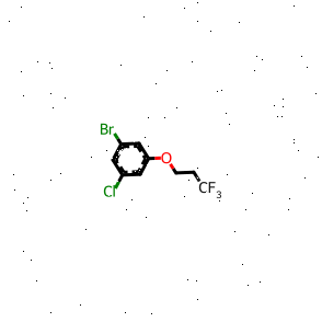 FC(F)(F)CCOc1cc(Cl)cc(Br)c1